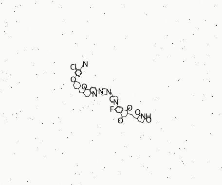 N#Cc1ccc(O[C@H]2CC[C@H](CC3CCc4nc(N5CCN(CC6CCN(c7cc8c(cc7F)C(=O)CC(CCC7CCC(=O)NC7=O)C8=O)CC6)CC5)ccc4C3=O)CC2)cc1Cl